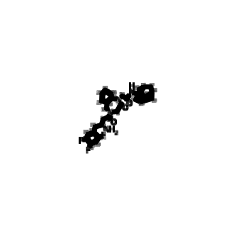 N[C@@H](CC(=O)N1CC(=O)N(CC(=O)NC23CC4CC5CC(C2)C3(C5)C4)c2ccccc2C1)Cc1cc(F)c(F)cc1F